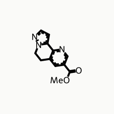 COC(=O)c1cnc2c(c1)CCn1nccc1-2